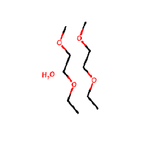 CCOCCOC.CCOCCOC.O